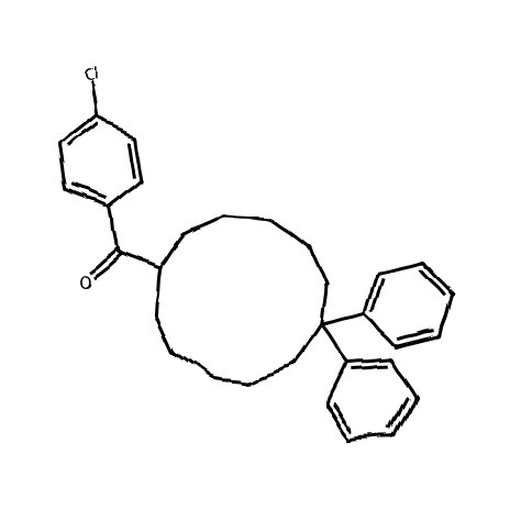 O=C(c1ccc(Cl)cc1)C1CCCCCC(c2ccccc2)(c2ccccc2)CCCCC1